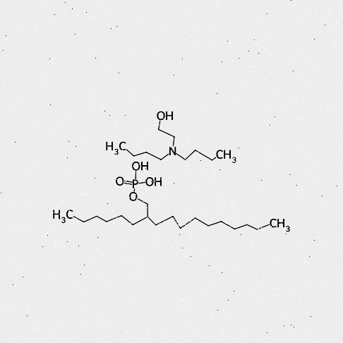 CCCCCCCCCCC(CCCCCC)COP(=O)(O)O.CCCCN(CCO)CCCC